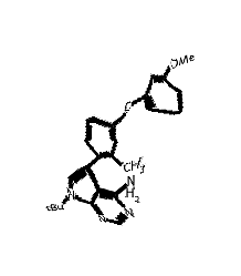 COc1cccc(Oc2ccc(-c3cn(C(C)(C)C)c4ncnc(N)c34)c(C)c2)c1